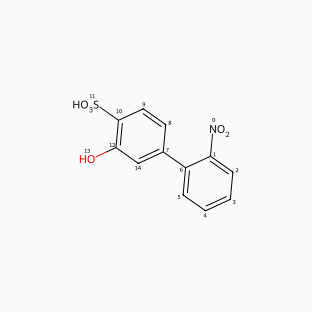 O=[N+]([O-])c1ccccc1-c1ccc(S(=O)(=O)O)c(O)c1